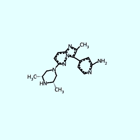 Cc1nc2ccc(N3C[C@@H](C)N[C@@H](C)C3)nn2c1-c1ccnc(N)c1